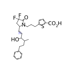 CC(CCc1ccccc1)C(O)/C=C/C1CC(F)(F)C(=O)N1CCCc1ccc(C(=O)O)s1